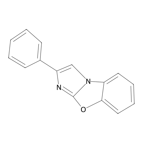 c1ccc(-c2cn3c(n2)oc2ccccc23)cc1